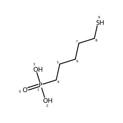 O=P(O)(O)CCCCCS